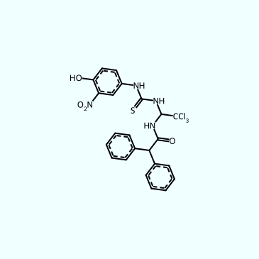 O=C(NC(NC(=S)Nc1ccc(O)c([N+](=O)[O-])c1)C(Cl)(Cl)Cl)C(c1ccccc1)c1ccccc1